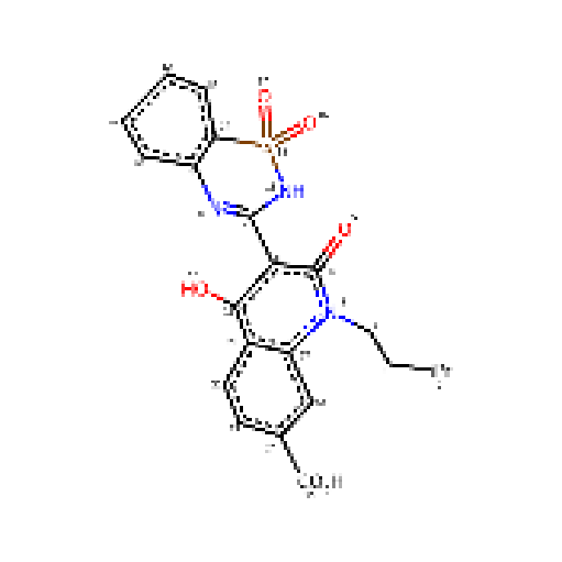 CC(C)CCn1c(=O)c(C2=Nc3ccccc3S(=O)(=O)N2)c(O)c2ccc(C(=O)O)cc21